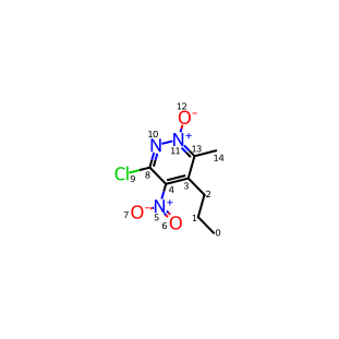 CCCc1c([N+](=O)[O-])c(Cl)n[n+]([O-])c1C